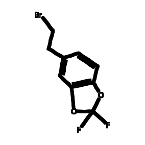 FC1(F)Oc2ccc(CCBr)cc2O1